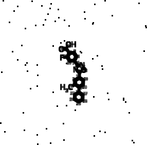 Cc1cc(-c2nc(-c3ccc(C(=O)O)c(F)c3)no2)ccc1-c1ccccc1